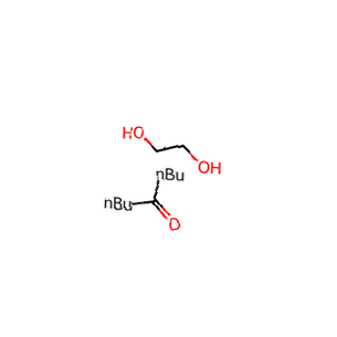 CCCCC(=O)CCCC.OCCO